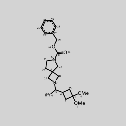 COC1(OC)CC(C(C(C)C)N2CC3(CCN(C(=O)OCc4ccccc4)C3)C2)C1